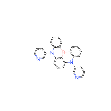 c1cncc(N2c3ccccc3B3c4ccccc4N(c4cccnc4)c4cccc2c43)c1